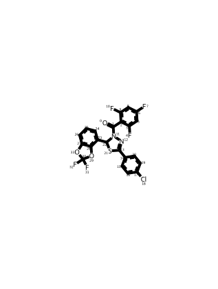 O=C(c1c(F)cc(F)cc1F)N1N=C(c2ccc(Cl)cc2)SC1c1cccc2c1OC(F)(F)O2